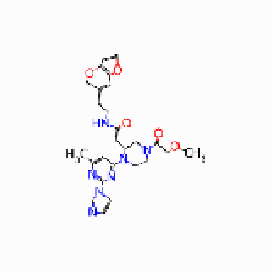 COCC(=O)N1CCN(c2cc(C)nc(-n3ccnc3)n2)C(CC(=O)NCCC2=Cc3occc3OC2)C1